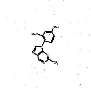 COc1ccc(-n2cnc3cnc(C(F)(F)F)nc32)c(OC)c1